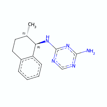 C[C@H]1CCc2ccccc2[C@@H]1Nc1ncnc(N)n1